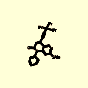 CSc1cc2c(cn1)c(C#C[Si](C(C)C)(C(C)C)C(C)C)cc(=O)n2-c1ccccc1